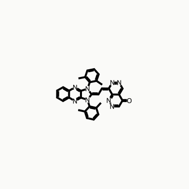 Cc1cccc(C)c1N1C(=C/C=c2/nncc3c2=NN=CC3=O)N(c2c(C)cccc2C)c2nc3ccccc3nc21